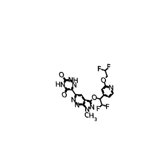 Cn1nc(OC(c2ccnc(OCC(F)F)c2)C(F)F)c2cc(-c3n[nH]c(=O)[nH]c3=O)nnc21